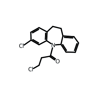 O=C(CCCl)N1c2ccccc2CCc2ccc(Cl)cc21